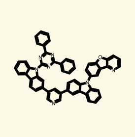 c1ccc(-c2nc(-c3ccccc3)nc(-n3c4ccccc4c4ccc(-c5cncc(-c6ccc7c(c6)c6ccccc6n7-c6ccc7oc8cccnc8c7c6)c5)cc43)n2)cc1